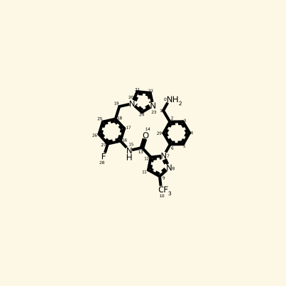 NCc1cccc(-n2nc(C(F)(F)F)cc2C(=O)Nc2cc(Cn3ccnc3)ccc2F)c1